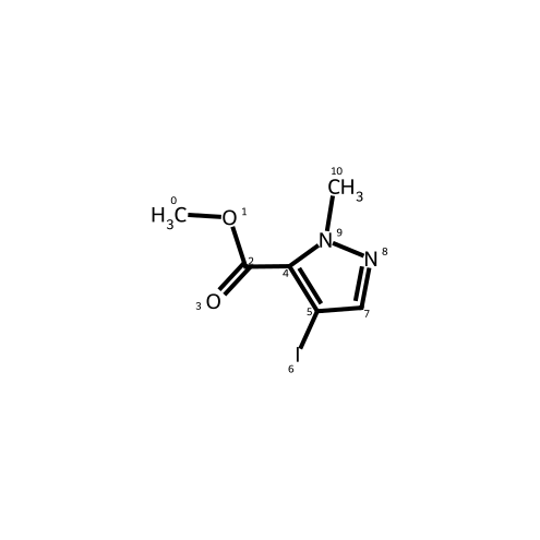 COC(=O)c1c(I)cnn1C